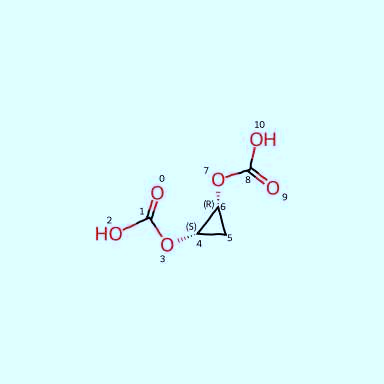 O=C(O)O[C@H]1C[C@H]1OC(=O)O